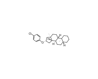 C[C@]12CC[C@H]3[C@@H](CC[C@H]4CCCC[C@@]43C)[C@@H]1C[C@H](Oc1ccc(Cl)cc1)C2